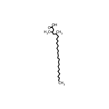 CCCCCCCCCCCCCCCCCCCCCC(C)CC(C)CC(=O)O